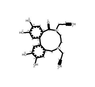 C#CCN1CCN(CC#C)C(=O)c2cc(O)c(O)cc2-c2cc(O)c(O)cc2C1